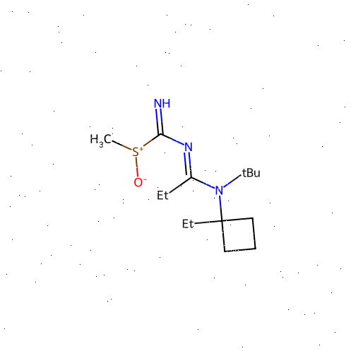 CC/C(=N\C(=N)[S+](C)[O-])N(C(C)(C)C)C1(CC)CCC1